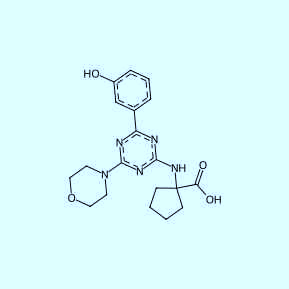 O=C(O)C1(Nc2nc(-c3cccc(O)c3)nc(N3CCOCC3)n2)CCCC1